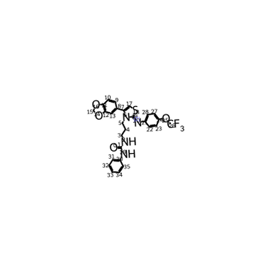 O=C(NCCCn1c(-c2ccc3c(c2)OCO3)cs/c1=N\c1ccc(OC(F)(F)F)cc1)Nc1ccccc1